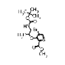 COC(=O)c1scc(Br)c1O[C@@H](C)CNC(=O)OC(C)(C)C